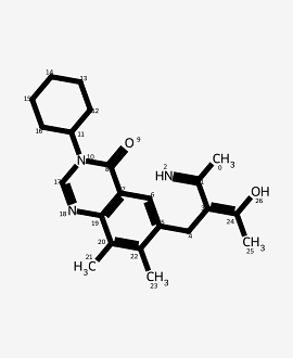 CC(=N)/C(Cc1cc2c(=O)n(C3CCCCC3)cnc2c(C)c1C)=C(/C)O